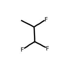 CC(F)[C](F)F